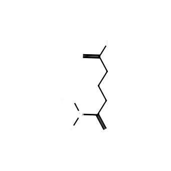 C=C(CC)CCCC(=C)N(CCCCCCCC)CCCCCCCC